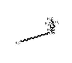 CCCCCCCCCCCCCCCCCCOP(=O)(O)OC1CC[N+](C)(C(C)CC)CC1